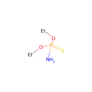 CCOP(N)(=S)OCC